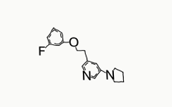 Fc1cccc(OCCc2cncc(N3CCCC3)c2)c1